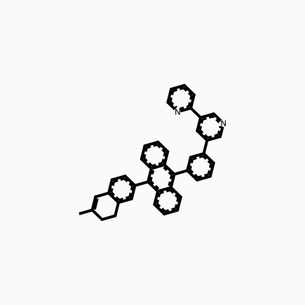 CC1=Cc2ccc(-c3c4ccccc4c(-c4cccc(-c5cncc(-c6ccccn6)c5)c4)c4ccccc34)cc2CC1